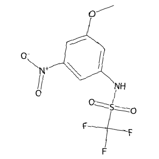 COc1cc(NS(=O)(=O)C(F)(F)F)cc([N+](=O)[O-])c1